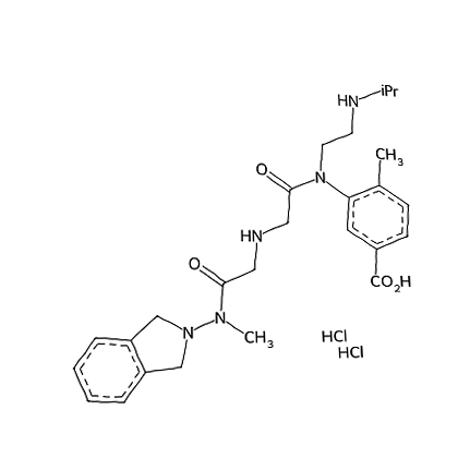 Cc1ccc(C(=O)O)cc1N(CCNC(C)C)C(=O)CNCC(=O)N(C)N1Cc2ccccc2C1.Cl.Cl